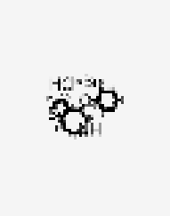 Brc1ccccc1OC1CNCCc2sccc21.Cl